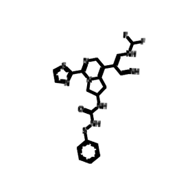 N=C/C(=C\NC(F)F)C1=C2CC(NC(=O)NSc3ccccc3)CN2C(c2nccs2)=NC1